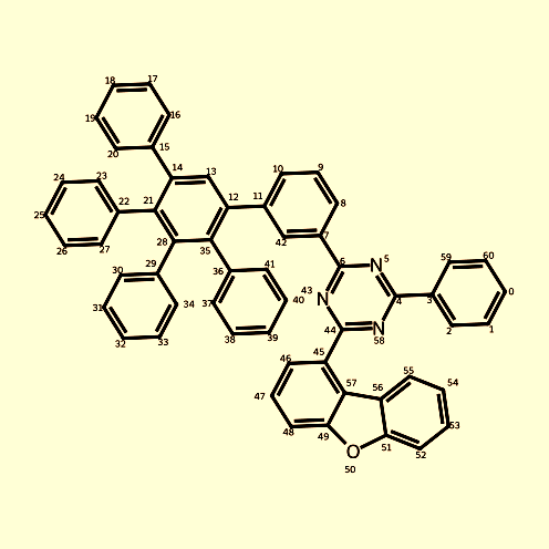 c1ccc(-c2nc(-c3cccc(-c4cc(-c5ccccc5)c(-c5ccccc5)c(-c5ccccc5)c4-c4ccccc4)c3)nc(-c3cccc4oc5ccccc5c34)n2)cc1